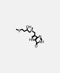 CSCCC(O)CN(C)Cc1c[nH]c2c(=O)[nH]cnc12